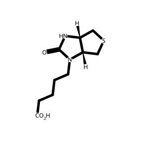 O=C(O)CCCCN1C(=O)N[C@@H]2CSC[C@@H]21